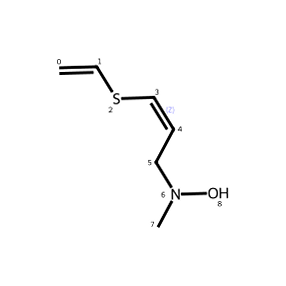 C=CS/C=C\CN(C)O